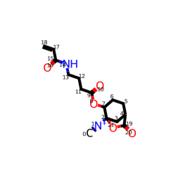 [C-]#[N+]C12CC(CCC1OC(=O)CCCNC(=O)C=C)C(=O)O2